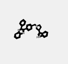 c1ccc(-c2nc3ccccc3nc2-c2ccc(CN3CCC(c4c[nH]c5ccccc45)C3)cc2)cc1